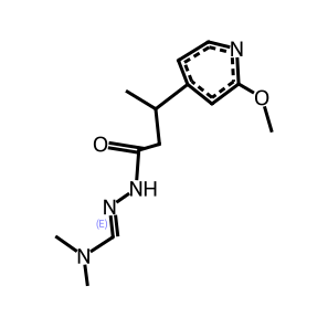 COc1cc(C(C)CC(=O)N/N=C/N(C)C)ccn1